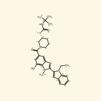 CCn1c(-c2nc3cc(C(=O)N4CCC[C@@H](OC(=O)NC(C)(C)C)C4)cc(O)c3n2C)cc2ccccc21